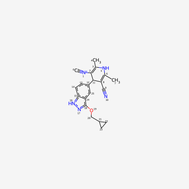 [C-]#[N+]C1=C(C)NC(C)=C(C#N)C1c1ccc2[nH]nc(OCC3CC3)c2c1